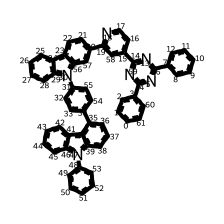 c1ccc(-c2nc(-c3ccccc3)nc(-c3ccnc(-c4ccc5c6ccccc6n(-c6ccc(-c7cccc8c7c7ccccc7n8-c7ccccc7)cc6)c5c4)c3)n2)cc1